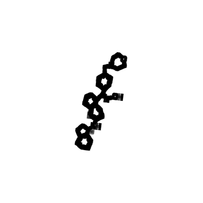 ON=C(c1ccc(CN2CCOCC2)cc1)c1cccc2nc(N[C@@H]3CCc4ccccc43)ccc12